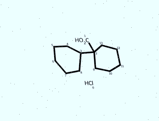 Cl.O=C(O)C1(C2CCCCC2)CCCCC1